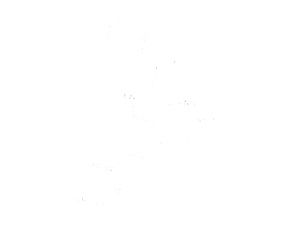 CC(=O)Nc1c(C(=O)c2cccc(C)c2)[nH]c2cc(C(=O)OC(C)Cl)ccc12